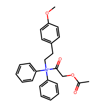 COc1ccc(CC[N+](C(=O)COC(C)=O)(c2ccccc2)c2ccccc2)cc1